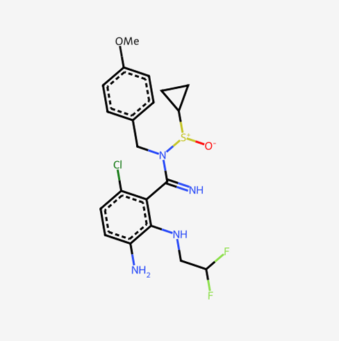 COc1ccc(CN(C(=N)c2c(Cl)ccc(N)c2NCC(F)F)[S+]([O-])C2CC2)cc1